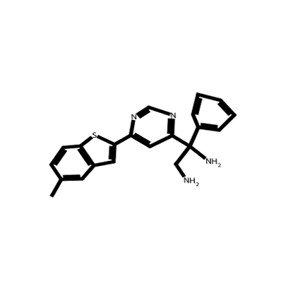 Cc1ccc2sc(-c3cc(C(N)(CN)c4ccccc4)ncn3)cc2c1